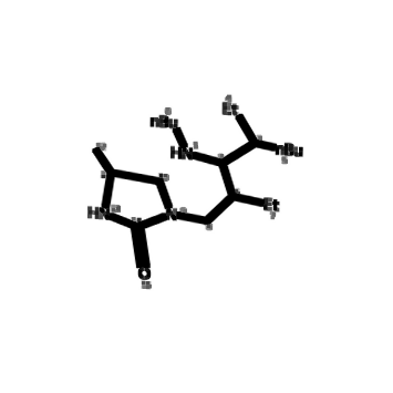 CCCCNC(C(CC)CCCC)C(CC)CN1CC(C)NC1=O